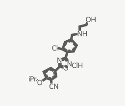 CC(C)Oc1ccc(-c2nc(-c3ccc(CNCCO)cc3Cl)no2)cc1C#N.Cl